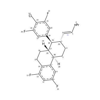 CCC/C=C/[C@@H]1CC[C@H]2c3cc(F)cc(F)c3CC[C@@H]2[C@H]1c1cc(F)c(Cl)c(F)c1